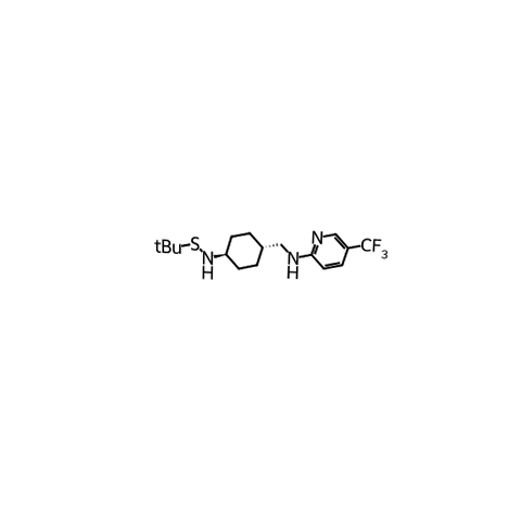 CC(C)(C)SN[C@H]1CC[C@H](CNc2ccc(C(F)(F)F)cn2)CC1